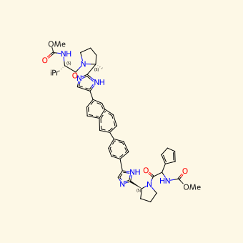 COC(=O)NC(C(=O)N1CCC[C@H]1c1ncc(-c2ccc(-c3ccc4cc(-c5cnc([C@]6(C)CCCN6C(=O)[C@@H](NC(=O)OC)C(C)C)[nH]5)ccc4c3)cc2)[nH]1)C1=CCC=C1